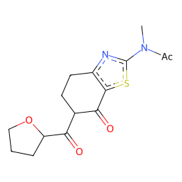 CC(=O)N(C)c1nc2c(s1)C(=O)C(C(=O)C1CCCO1)CC2